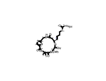 CCCCCCCC(=O)SCC/C=C/[C@@H]1CC(=O)NCc2nc(cs2)C(=O)NC(C)(C)C(=O)N[C@@H](C(C)C)C(O)O1